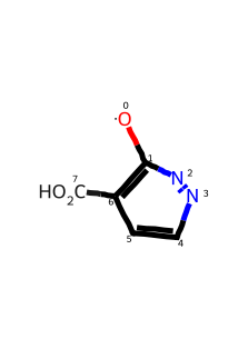 [O]c1nnccc1C(=O)O